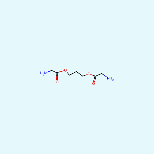 NCC(=O)OCCCOC(=O)CN